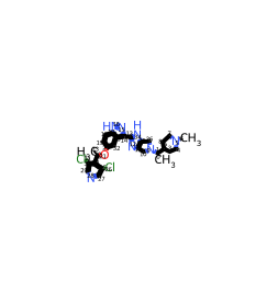 C[C@H](C1CCN(C)CC1)N1Cc2nc(-c3n[nH]c4ccc(O[C@H](C)c5c(Cl)cncc5Cl)cc34)[nH]c2C1